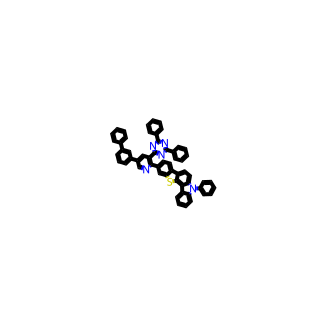 c1ccc(-c2cccc(-c3cnc(-c4ccc5c(c4)sc4c5ccc5c4c4ccccc4n5-c4ccccc4)c(-c4nc(-c5ccccc5)nc(-c5ccccc5)n4)c3)c2)cc1